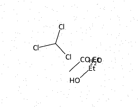 CCO.CCOC(C)=O.ClC(Cl)Cl.O